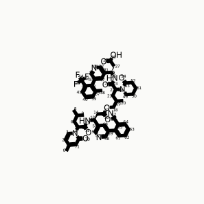 Cc1ccn(C(CC(C)C)C(=O)N[C@@H](CC(=O)OCC(C)CC(C(=O)N[C@@H](CC(=O)O)c2cncc(-c3c(C)cccc3C(F)(F)F)c2)N2CCCCC2=O)c2cncc(-c3ccccc3C#N)c2)c(=O)c1